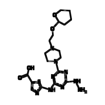 NNc1nc(Nc2ncc(C(=O)O)s2)nc(N2CCN(CCOC3CCCCO3)CC2)n1